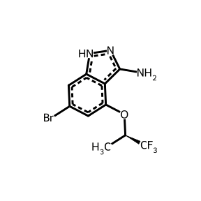 C[C@@H](Oc1cc(Br)cc2[nH]nc(N)c12)C(F)(F)F